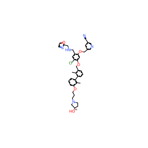 Cc1c(COc2cc(OCc3cncc(C#N)c3)c(CNCc3ncco3)cc2Cl)cccc1-c1cccc(OCCCN2CC[C@@H](O)C2)c1C